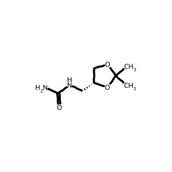 CC1(C)OC[C@@H](CNC(N)=O)O1